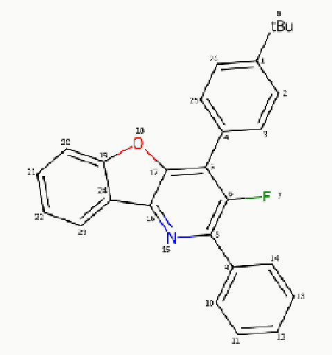 CC(C)(C)c1ccc(-c2c(F)c(-c3ccccc3)nc3c2oc2ccccc23)cc1